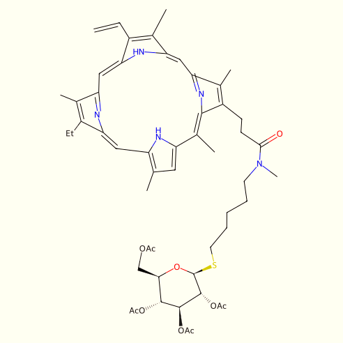 C=Cc1c(C)c2cc3nc(c(C)c4cc(C)c(cc5nc(cc1[nH]2)C(C)=C5CC)[nH]4)C(CCC(=O)N(C)CCCCCS[C@@H]1O[C@H](COC(C)=O)[C@@H](OC(C)=O)[C@H](OC(C)=O)[C@H]1OC(C)=O)=C3C